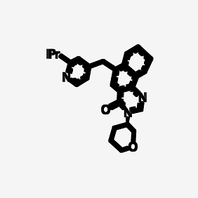 CC(C)c1cc(Cc2cc3c(=O)n([C@@H]4CCCOC4)cnc3c3ccccc23)ccn1